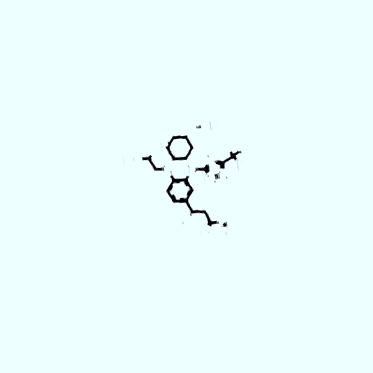 COC(=O)C[C@@H](C)c1ccc(N(CC(C)C)[C@H]2CC[C@@H](OC)CC2)c(Nc2nc(C(F)(F)F)n[nH]2)c1